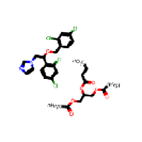 CCCCCCCC(=O)OCC(COC(=O)CCCCCCC)OC(=O)CCC(=O)O.Clc1ccc(COC(Cn2ccnc2)c2ccc(Cl)cc2Cl)c(Cl)c1